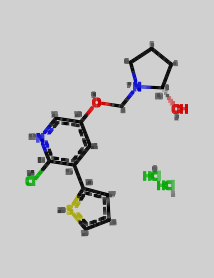 Cl.Cl.O[C@H]1CCCN1COc1cnc(Cl)c(-c2cccs2)c1